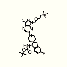 CC(C)(C)OC(=O)N[C@@H]1c2ccc(F)cc2CC12CCN(c1cnc3c(I)nn(COCC[Si](C)(C)C)c3n1)CC2